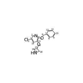 Clc1cnc(OCc2ccccc2)c(OC2CNC2)c1